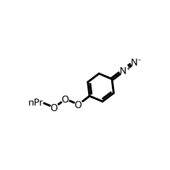 CCCOOOC1=CCC(=[N+]=[N-])C=C1